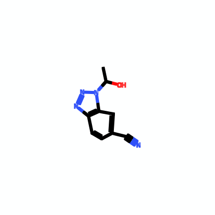 CC(O)n1nnc2ccc(C#N)cc21